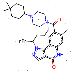 CCCC(CCI)n1ncc2c(=O)[nH]c3cc(C)c(C(=O)N4CCN(C5CCC(C)(C)CC5)CC4)cc3c21